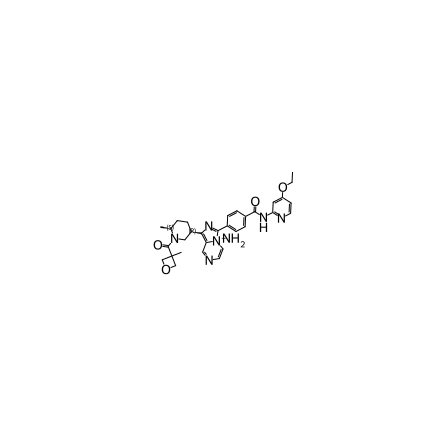 CCOc1ccnc(NC(=O)c2ccc(C3=NC([C@@H]4CC[C@H](C)N(C(=O)C5(C)COC5)C4)=C4C=NC=C[N+]34N)cc2)c1